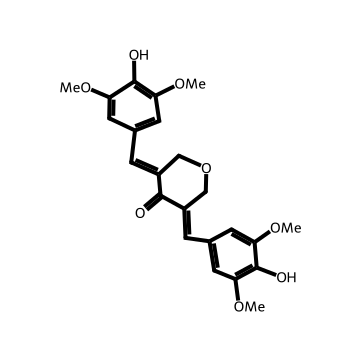 COc1cc(/C=C2\COC/C(=C\c3cc(OC)c(O)c(OC)c3)C2=O)cc(OC)c1O